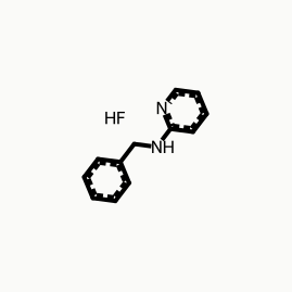 F.c1ccc(CNc2ccccn2)cc1